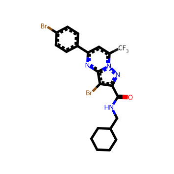 O=C(NCC1CCCCC1)c1nn2c(C(F)(F)F)cc(-c3ccc(Br)cc3)nc2c1Br